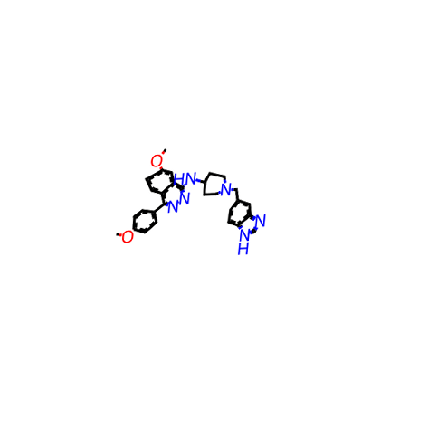 COc1ccc(-c2nnc(NC3CCN(Cc4ccc5[nH]cnc5c4)CC3)c3cc(OC)ccc23)cc1